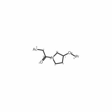 CC(=O)CC(=O)N1CCC(OC(C)C)C1